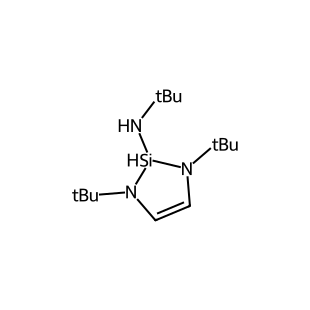 CC(C)(C)N[SiH]1N(C(C)(C)C)C=CN1C(C)(C)C